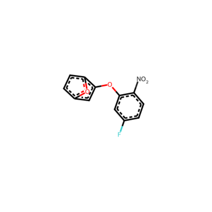 O=[N+]([O-])c1ccc(F)cc1Oc1cc2ccc1o2